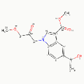 C=C(O)c1ccc2c(c1)c(C(=O)OC)cn2CC(=O)COC